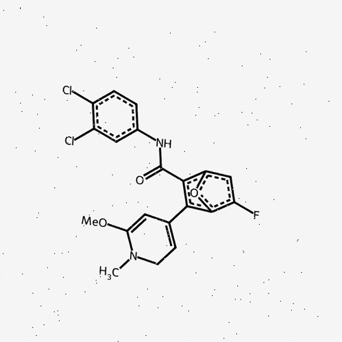 COC1=CC(c2c(C(=O)Nc3ccc(Cl)c(Cl)c3)c3cc(F)c2o3)=CCN1C